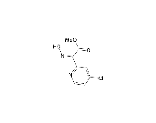 COC(=O)C(=NO)c1cc(Cl)ccn1